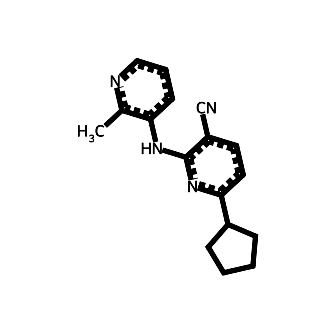 Cc1ncccc1Nc1nc(C2CCCC2)ccc1C#N